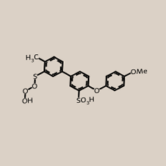 COc1ccc(Oc2ccc(-c3ccc(C)c(SOOO)c3)cc2S(=O)(=O)O)cc1